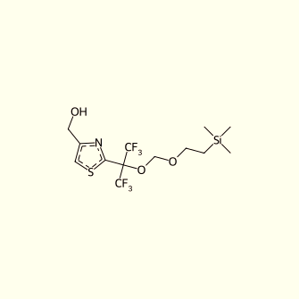 C[Si](C)(C)CCOCOC(c1nc(CO)cs1)(C(F)(F)F)C(F)(F)F